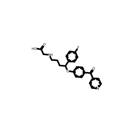 O=C(O)CNCCCC(Oc1ccc(C(=O)c2ccncc2)cc1)c1ccc(F)cc1